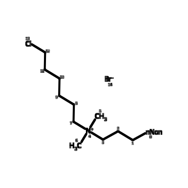 CCCCCCCCCCCC[N+](C)(C)CCCCCCCl.[Br-]